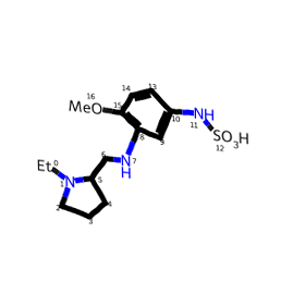 CCN1CCCC1CNc1cc(NS(=O)(=O)O)ccc1OC